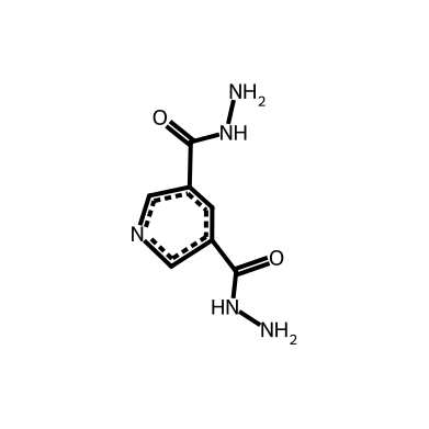 NNC(=O)c1cncc(C(=O)NN)c1